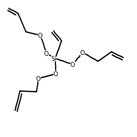 C=CCOO[Si](C=C)(OOCC=C)OOCC=C